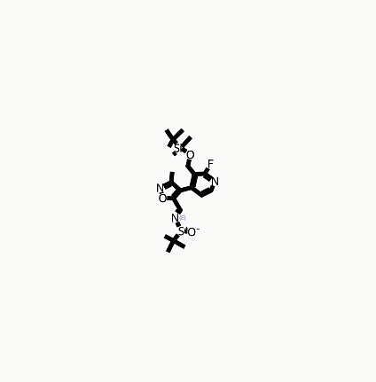 Cc1noc(/C=N/[S+]([O-])C(C)(C)C)c1-c1ccnc(F)c1CO[Si](C)(C)C(C)(C)C